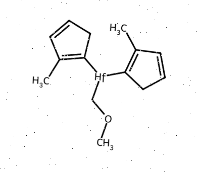 CO[CH2][Hf]([C]1=C(C)C=CC1)[C]1=C(C)C=CC1